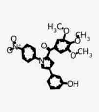 COc1cc(C(=O)c2cc(-c3cccc(O)c3)cn2-c2ccc([N+](=O)[O-])cc2)cc(OC)c1OC